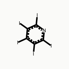 Ic1nc(I)c(I)c(I)c1I